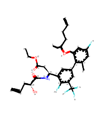 C=CCCC(C)Oc1cc(F)cc(C)c1-c1cc([C@H](CC(=O)OCC)NC(=O)[C@H](O)CC=C)c(F)c(C(F)(F)F)c1